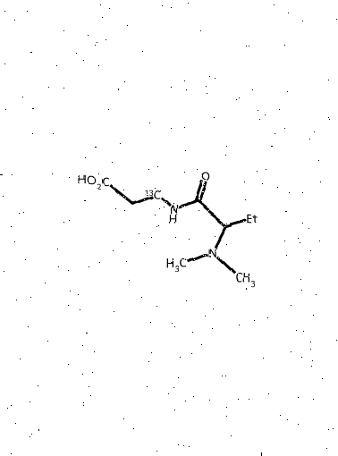 CN(C)C(C[13CH3])C(=O)N[13CH2]CC(=O)O